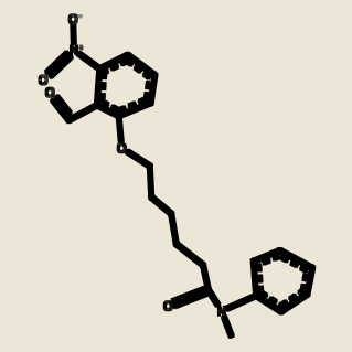 CN(C(=O)CCCCCOc1cccc([N+](=O)[O-])c1C=O)c1ccccc1